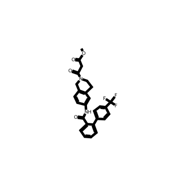 COC(=O)CC(=O)N1CCc2cc(NC(=O)c3ccccc3-c3ccc(C(F)(F)F)cc3)ccc2C1